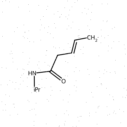 [CH2]C=CCC(=O)NC(C)C